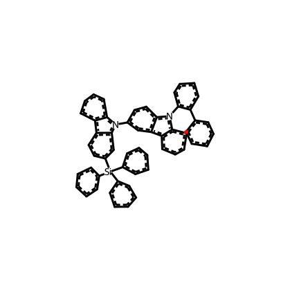 c1ccc(-c2ccccc2-n2c3ccccc3c3cc(-n4c5ccccc5c5ccc([Si](c6ccccc6)(c6ccccc6)c6ccccc6)cc54)ccc32)cc1